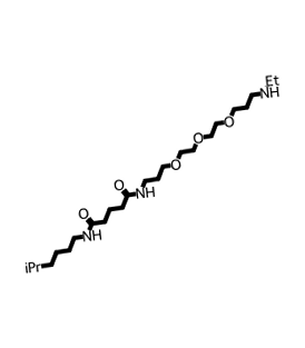 CCNCCCOCCOCCOCCCNC(=O)CCCC(=O)NCCCCC(C)C